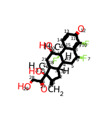 C=C1C[C@H]2[C@@H]3CC(F)C4=C(F)C(=O)C=C[C@]4(C)[C@@]3(F)C(O)C[C@]2(C)[C@@]1(O)C(=O)CO